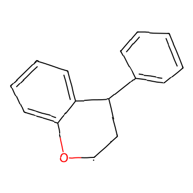 [CH]1CC(c2ccccc2)c2ccccc2O1